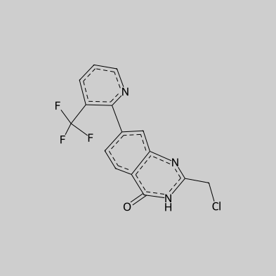 O=c1[nH]c(CCl)nc2cc(-c3ncccc3C(F)(F)F)ccc12